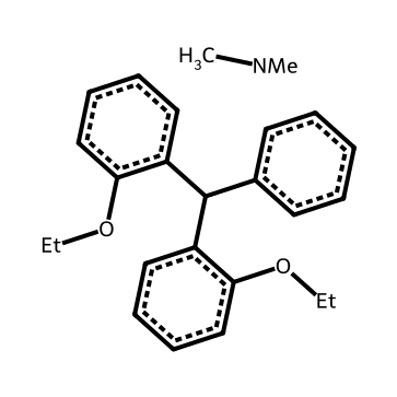 CCOc1ccccc1C(c1ccccc1)c1ccccc1OCC.CNC